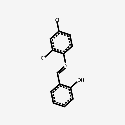 Oc1ccccc1/C=N/c1ccc(Cl)cc1Cl